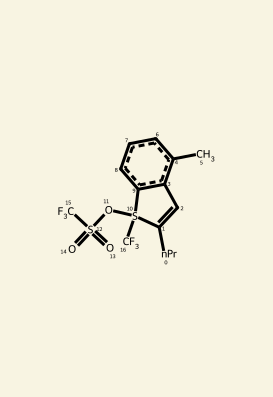 CCCC1=Cc2c(C)cccc2S1(OS(=O)(=O)C(F)(F)F)C(F)(F)F